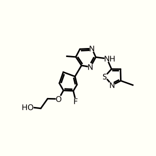 Cc1cc(Nc2ncc(C)c(-c3ccc(OCCO)c(F)c3)n2)sn1